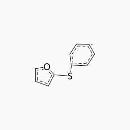 [c]1ccc(Sc2ccco2)cc1